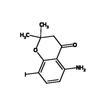 CC1(C)CC(=O)c2c(N)ccc(I)c2O1